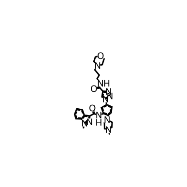 CN1CCN(c2ccc(-n3cc(C(=O)NCCCN4CCOCC4)nn3)cc2NC(=O)c2nn(C)c3ccccc23)CC1